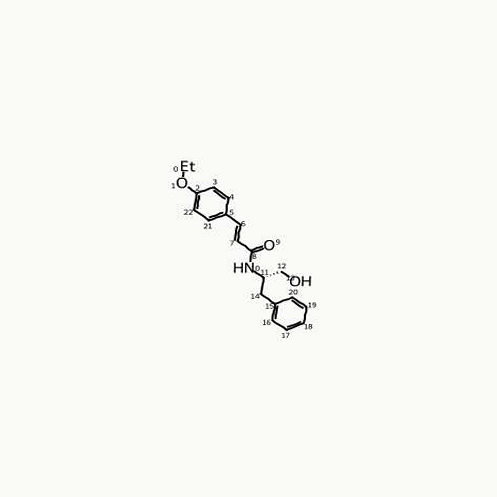 CCOc1ccc(/C=C/C(=O)N[C@H](CO)Cc2ccccc2)cc1